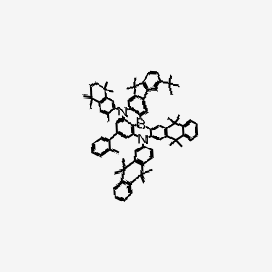 Cc1ccccc1-c1cc2c3c(c1)N(c1cc4c(cc1C)C(C)(C)CCC4(C)C)c1cc4c(cc1B3c1cc3c(cc1N2c1ccc2c(c1)C(C)(C)c1ccccc1C2(C)C)C(C)(C)c1ccccc1C3(C)C)-c1cc(C(C)(C)C)ccc1C4(C)C